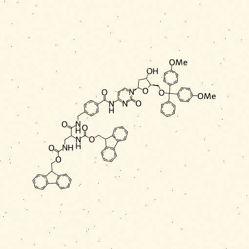 COc1ccc(C(OC[C@H]2O[C@@H](n3ccc(NC(=O)c4ccc(CNC(=O)C(CNC(=O)OCC5c6ccccc6-c6ccccc65)NC(=O)OCC5c6ccccc6-c6ccccc65)cc4)nc3=O)CC2O)(c2ccccc2)c2ccc(OC)cc2)cc1